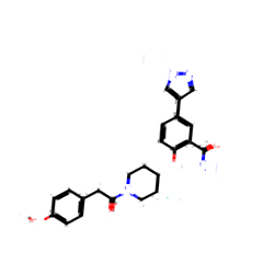 Cn1cc(-c2ccc(O[C@H]3CCN(C(=O)Cc4ccc(OC(F)(F)F)cc4)C[C@H]3F)c(C(N)=O)c2)cn1